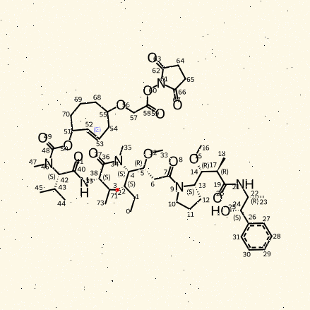 CC[C@H](C)[C@@H]([C@@H](CC(=O)N1CCC[C@H]1[C@H](OC)[C@@H](C)C(=O)N[C@H](C)[C@@H](O)c1ccccc1)OC)N(C)C(=O)[C@@H](NC(=O)[C@H](C(C)C)N(C)C(=O)OC1/C=C/CC(OCC(=O)ON2C(=O)CCC2=O)CCC1)C(C)C